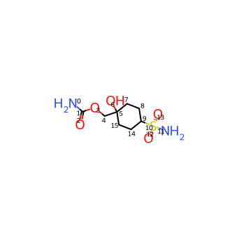 NC(=O)OCC1(O)CCC(S(N)(=O)=O)CC1